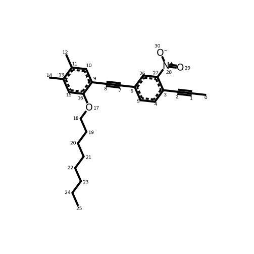 CC#Cc1ccc(C#Cc2cc(C)c(C)cc2OCCCCCCCC)cc1[N+](=O)[O-]